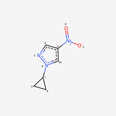 O=[N+]([O-])c1cnn(C2CC2)c1